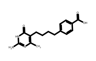 Cc1nc(N)[nH]c(=O)c1CCCCc1ccc(C(=O)O)cc1